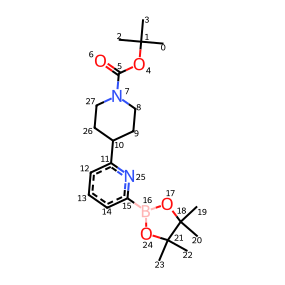 CC(C)(C)OC(=O)N1CCC(c2cccc(B3OC(C)(C)C(C)(C)O3)n2)CC1